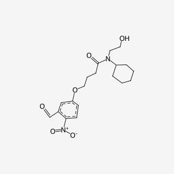 O=Cc1cc(OCCCC(=O)N(CCO)C2CCCCC2)ccc1[N+](=O)[O-]